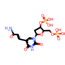 NC(=O)/C=C/c1cn(C2CC(OP(=O)(O)O)C(COP(=O)(O)O)O2)c(=O)[nH]c1=O